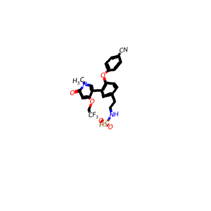 Cn1cc(-c2cc(CCN[SH](=O)=O)ccc2Oc2ccc(C#N)cc2)c(OCC(F)(F)F)cc1=O